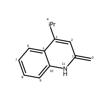 C=C1C=C(C(C)C)c2ccccc2N1